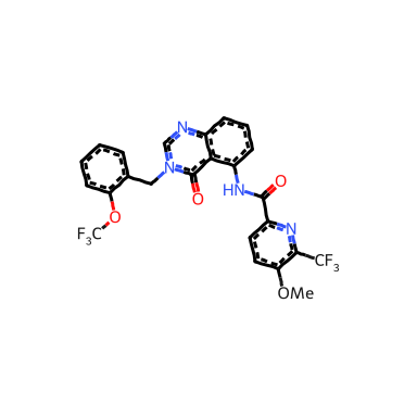 COc1ccc(C(=O)Nc2cccc3ncn(Cc4ccccc4OC(F)(F)F)c(=O)c23)nc1C(F)(F)F